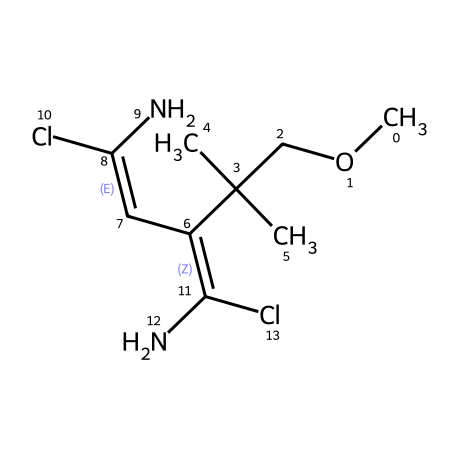 COCC(C)(C)C(/C=C(\N)Cl)=C(/N)Cl